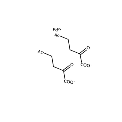 CC(=O)CCC(=O)C(=O)[O-].CC(=O)CCC(=O)C(=O)[O-].[Pd+2]